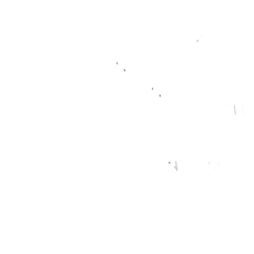 CC(C)n1ncc(C=O)c1[N+](=O)[O-]